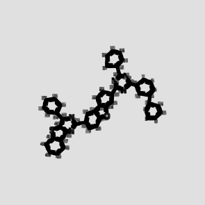 c1ccc(-c2cccc(-c3nc(-c4ccccc4)nc(-c4ccc5c(c4)oc4ccc(-c6nc(-c7ccccc7)c7sc8ccccc8c7n6)cc45)n3)c2)cc1